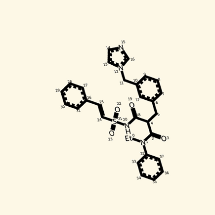 CCN(C(=O)C(Cc1cccc(Cn2ccnc2)c1)C(=O)NS(=O)(=O)/C=C/c1ccccc1)c1ccccc1